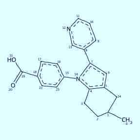 CC1CCc2c(cc(-c3cccnc3)n2-c2ccc(C(=O)O)cc2)C1